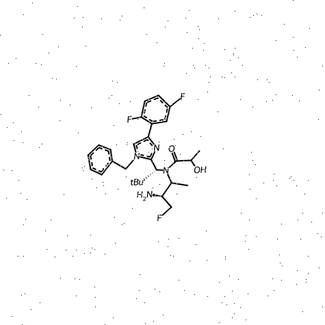 CC(O)C(=O)N(C(C)[C@H](N)CF)[C@@H](c1nc(-c2cc(F)ccc2F)cn1Cc1ccccc1)C(C)(C)C